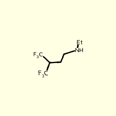 CCNCCC(C(F)(F)F)C(F)(F)F